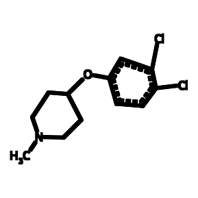 CN1CCC(Oc2ccc(Cl)c(Cl)c2)CC1